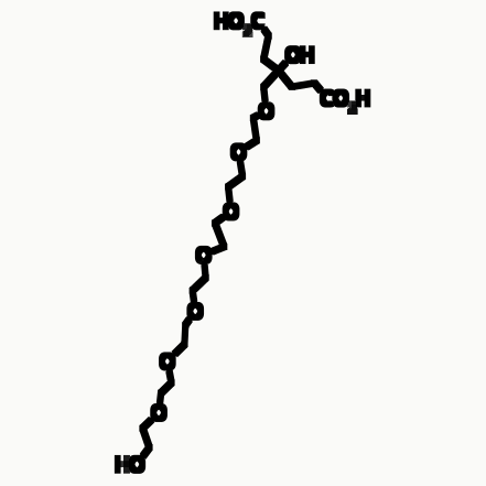 O=C(O)CCC(O)(CCC(=O)O)COCCOCCOCCOCCOCCOCCOCCO